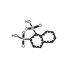 O=S(=O)(O)c1[c]cc2ccccc2c1S(=O)(=O)O